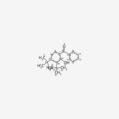 CC(C)(C)c1ccc(C(=O)c2ccccc2)c(O)c1C(C)(C)C